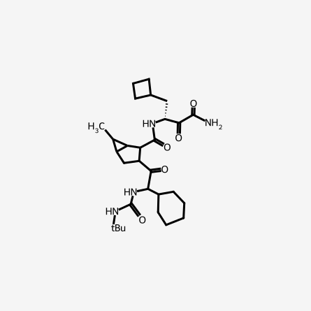 CC1C2CC(C(=O)C(NC(=O)NC(C)(C)C)C3CCCCC3)C(C(=O)N[C@H](CC3CCC3)C(=O)C(N)=O)C12